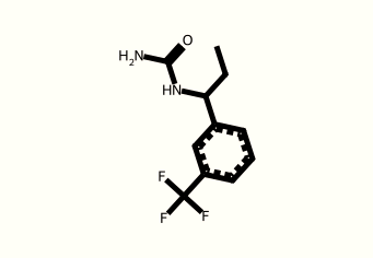 CCC(NC(N)=O)c1cccc(C(F)(F)F)c1